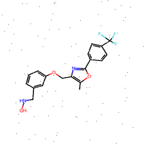 Cc1oc(-c2ccc(C(F)(F)F)cc2)nc1COc1cccc(CNO)c1